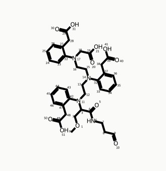 COCC(C(=O)NCCC=O)N(CCN(CCN(CC(=O)O)c1ccccc1CC(=O)O)c1ccccc1CC(=O)O)c1ccccc1CC(=O)O